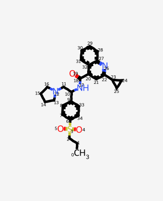 CCCS(=O)(=O)c1ccc(C(CN2CCCC2)NC(=O)c2cc(C3CC3)nc3ccccc23)cc1